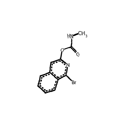 CNC(=O)Oc1cc2ccccc2c(Br)n1